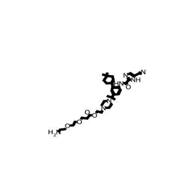 CC1(C)CC=C(c2cc(C(C)(C)N3CCN(CCOC(=O)CCOCCOCCN)CC3)ccc2NC(=O)c2ncc(C#N)[nH]2)CC1